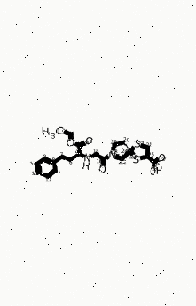 CCOC(=O)C(CCc1ccccc1)NCC(=O)N1CC[C@]2(C1)SCC(C(=O)O)S2